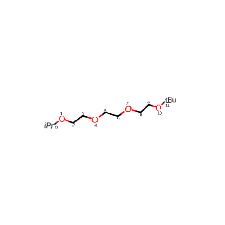 CC(C)OCCOCCOCCOC(C)(C)C